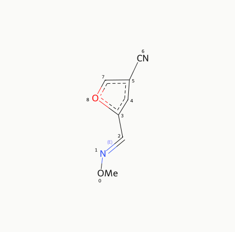 CO/N=C/c1cc(C#N)co1